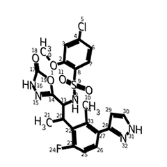 COc1cc(Cl)ccc1S(=O)(=O)NC(c1n[nH]c(=O)o1)C(C)c1c(F)ccc(-c2cc[nH]n2)c1C